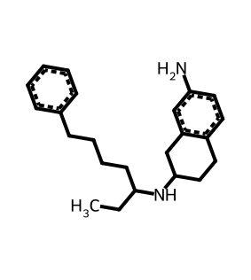 CCC(CCCCc1ccccc1)NC1CCc2ccc(N)cc2C1